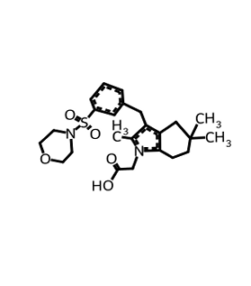 Cc1c(Cc2cccc(S(=O)(=O)N3CCOCC3)c2)c2c(n1CC(=O)O)CCC(C)(C)C2